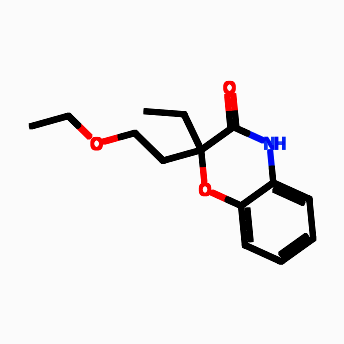 CCOCCC1(CC)Oc2ccccc2NC1=O